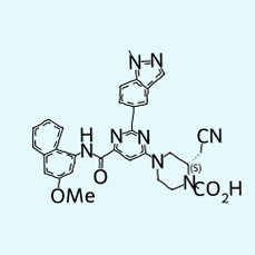 COc1cc(NC(=O)c2cc(N3CCN(C(=O)O)[C@@H](CC#N)C3)nc(-c3ccc4c(cnn4C)c3)n2)c2ccccc2c1